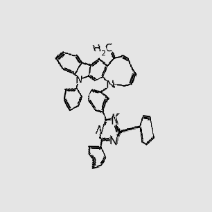 C=C1/C=C\C=C/CN(c2cccc(-c3nc(-c4ccccc4)nc(-c4ccccc4)n3)c2)c2cc3c(cc21)c1ccccc1n3-c1ccccc1